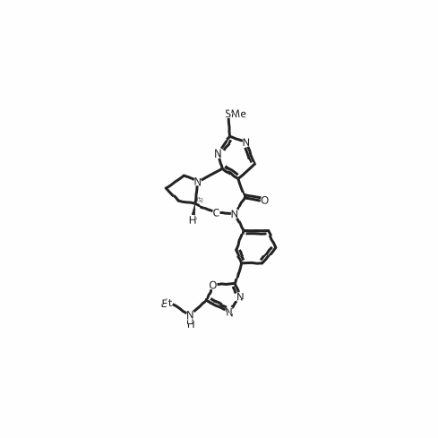 CCNc1nnc(-c2cccc(N3C[C@@H]4CCCN4c4nc(SC)ncc4C3=O)c2)o1